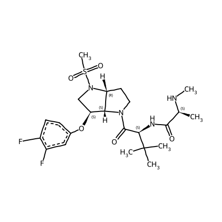 CN[C@@H](C)C(=O)N[C@H](C(=O)N1CC[C@@H]2[C@H]1[C@@H](Oc1ccc(F)c(F)c1)CN2S(C)(=O)=O)C(C)(C)C